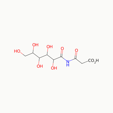 O=C(O)CC(=O)NC(=O)C(O)C(O)C(O)C(O)CO